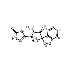 CN(Nc1n[nH]c(=S)s1)C(=O)C(N)(C=O)c1ccccc1